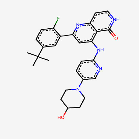 CC(C)(C)c1ccc(F)c(-c2cc(Nc3ccc(N4CCC(O)CC4)cn3)c3c(=O)[nH]ccc3n2)c1